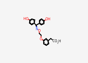 O=C(O)Cc1cccc(OCCON=C(c2ccc(O)cc2)c2ccc(O)cc2)c1